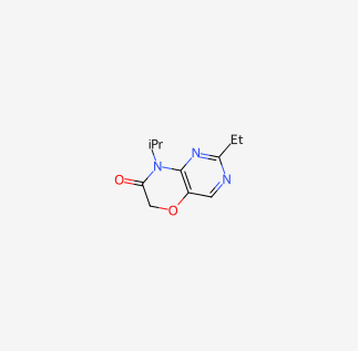 CCc1ncc2c(n1)N(C(C)C)C(=O)CO2